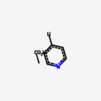 CC(=O)O.[Li][c]1ccncc1